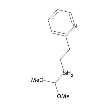 COC(OC)[SiH2]CCc1ccccn1